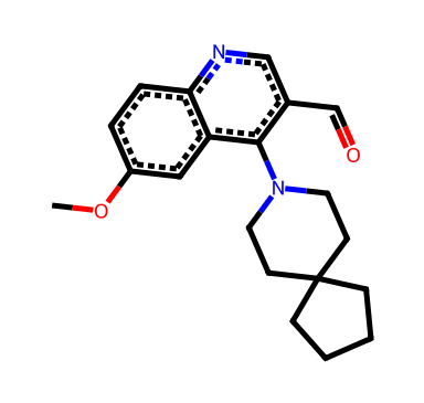 COc1ccc2ncc(C=O)c(N3CCC4(CCCC4)CC3)c2c1